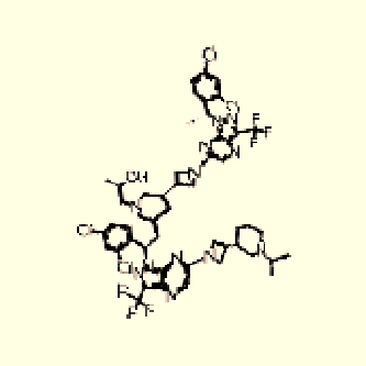 CC(C)N1CCC[C@H](C2CN(c3cnc4c(C(F)(F)F)nn([C@H](CC5C[C@H](C6CN(c7cnc8c(C(F)(F)F)nn([C@H](C)c9ccc(Cl)cc9Cl)c8n7)C6)CN(C[C@@H](C)O)C5)c5ccc(Cl)cc5Cl)c4n3)C2)C1